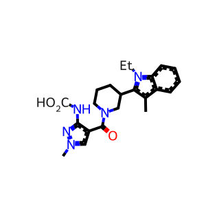 CCn1c(C2CCCN(C(=O)c3cn(C)nc3NC(=O)O)C2)c(C)c2ccccc21